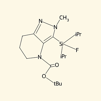 CC(C)[Si](F)(c1c2c(nn1C)CCCN2C(=O)OC(C)(C)C)C(C)C